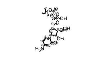 C[N+](C)(C)OP(=O)([O-])OP(=O)(O)OC[C@H]1O[C@@H](n2ccc(N)nc2=O)[C@H](O)[C@@H]1O.Cl